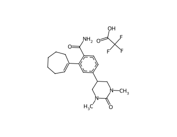 CN1CC(c2ccc(C(N)=O)c(C3=CCCCCC3)c2)CN(C)C1=O.O=C(O)C(F)(F)F